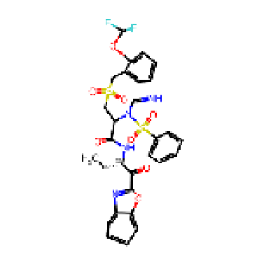 CC[C@H](NC(=O)C(CS(=O)(=O)Cc1ccccc1OC(F)F)N(C=N)S(=O)(=O)c1ccccc1)C(=O)c1nc2ccccc2o1